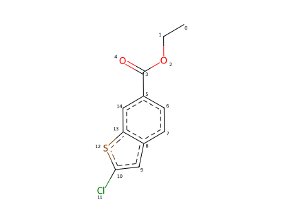 CCOC(=O)c1ccc2cc(Cl)sc2c1